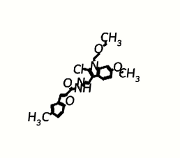 CCOCCn1c(Cl)c(C=NNC(=O)c2cc3cc(C)ccc3o2)c2ccc(OC)cc21